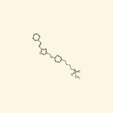 CS(=O)(=O)OCCCCc1ccc(OCc2coc(C=Cc3ccccc3)n2)cc1